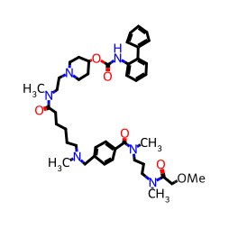 COCC(=O)N(C)CCCN(C)C(=O)c1ccc(CN(C)CCCCCC(=O)N(C)CCN2CCC(OC(=O)Nc3ccccc3-c3ccccc3)CC2)cc1